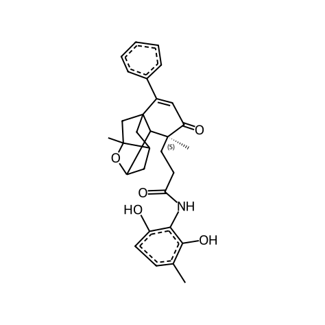 Cc1ccc(O)c(NC(=O)CC[C@]2(C)C(=O)C=C(c3ccccc3)C34CC5CC(OC5(C)C3)C42)c1O